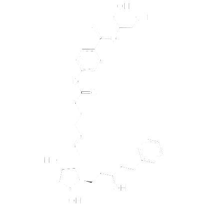 O=C(CCCC=CC[C@@H]1[C@@H](CCC(O)CCc2ccccc2)[C@H](O)C[C@@H]1O)Oc1ccc(C(=O)OC(CO)CO)cc1